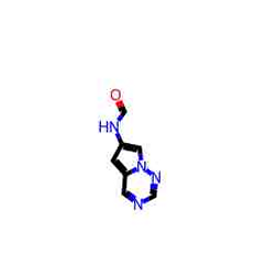 O=CNc1cc2cncnn2c1